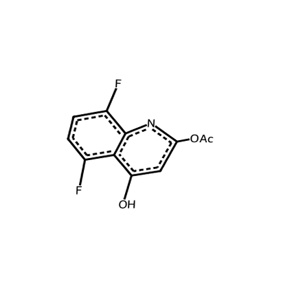 CC(=O)Oc1cc(O)c2c(F)ccc(F)c2n1